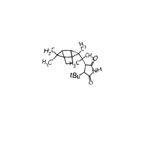 CC(C)(C)C1C(=O)NC(=O)C1C(C)(C)C1(C)C2C3C(C)(C)C34CCC214